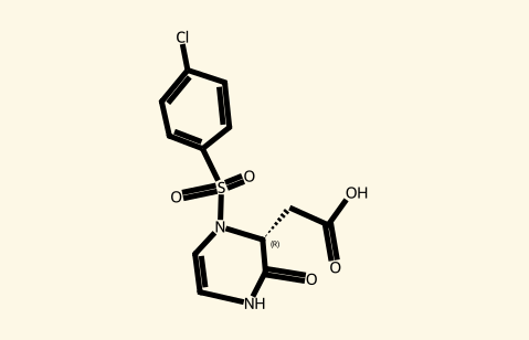 O=C(O)C[C@@H]1C(=O)NC=CN1S(=O)(=O)c1ccc(Cl)cc1